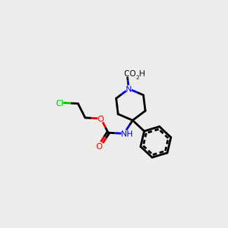 O=C(NC1(c2ccccc2)CCN(C(=O)O)CC1)OCCCl